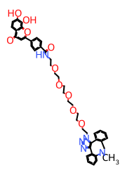 CN1Cc2ccccc2-c2c(nnn2CCOCCOCCOCCOCCOCCNC(=O)c2ccc(-c3cc(=O)c4ccc(O)c(O)c4o3)cc2)-c2ccccc21